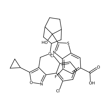 O=C(O)c1cc(F)c2nc(C3(O)C4CCC3CC(OCc3c(-c5c(Cl)cccc5Cl)noc3C3CC3)C4)sc2c1